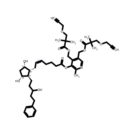 C#CCOCC(C)(C)C(=O)OCc1cnc(C)c(OC(=O)CCC/C=C\C[C@@H]2[C@@H](CCC(O)CCc3ccccc3)[C@H](O)C[C@@H]2O)c1COC(=O)C(C)(C)COCC#C